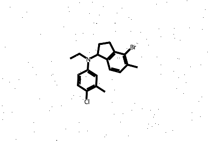 CCN(c1ccc(Cl)c(C)c1)C1CCc2c1ccc(C)c2Br